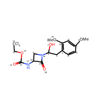 COc1ccc(CC(O)N2CC(NC(=O)OCC(Cl)(Cl)Cl)C2=O)c(OC)c1